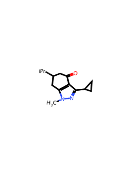 CC(C)C1CC(=O)c2c(C3CC3)nn(C)c2C1